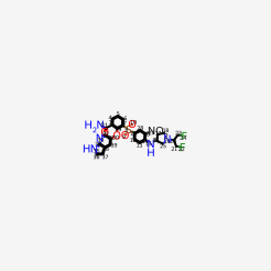 NC(=O)c1cccc(S(=O)(=O)c2ccc(N[C@@H]3CCN(C(CF)CF)C3)c([N+](=O)[O-])c2)c1Oc1cnc2[nH]ccc2c1